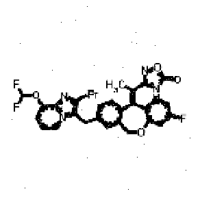 C/C(=C1\c2ccc(Cc3c(C(C)C)nc4c(OC(F)F)cccn34)cc2COc2cc(F)ccc21)c1noc(=O)[nH]1